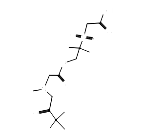 CN(CC(=O)OCC(C)(C)S(=O)(=O)CC(=O)O)CC(=O)C(C)(C)C